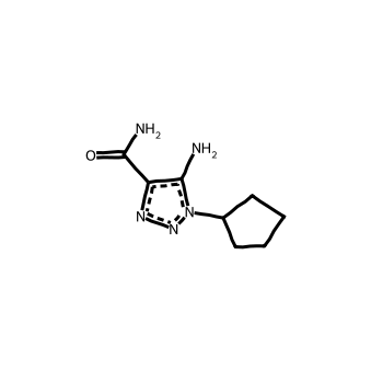 NC(=O)c1nnn(C2CCCC2)c1N